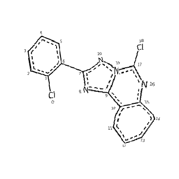 Clc1ccccc1-c1nc2c3ccccc3nc(Cl)n2n1